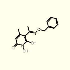 C/C(=N\OCc1ccccc1)c1c(C)cc(=O)n(O)c1O